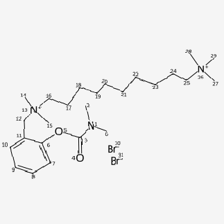 CN(C)C(=O)Oc1ccccc1C[N+](C)(C)CCCCCCCCCC[N+](C)(C)C.[Br-].[Br-]